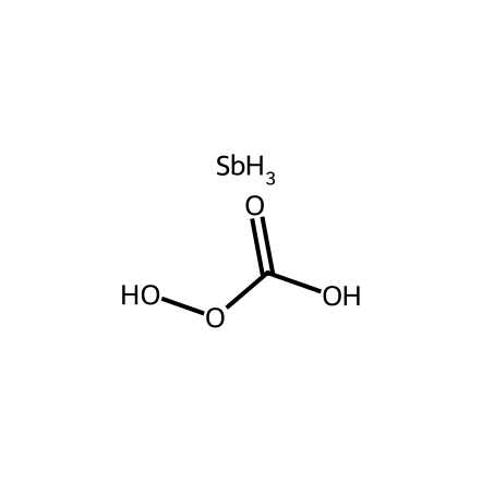 O=C(O)OO.[SbH3]